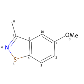 COc1ccc2snc(C)c2c1